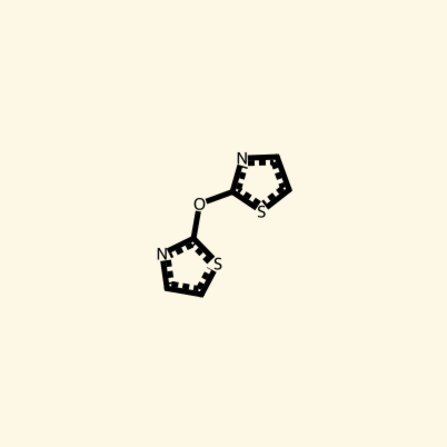 c1csc(Oc2nccs2)n1